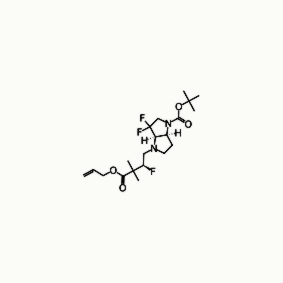 C=CCOC(=O)C(C)(C)[C@H](F)CN1CC[C@H]2[C@@H]1C(F)(F)CN2C(=O)OC(C)(C)C